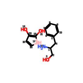 NC(CO)Cc1ccccc1.OC1=C(O)C=CB1